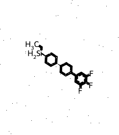 CC[SiH2][C@H]1CC[C@H](C2CCC(c3cc(F)c(F)c(F)c3)CC2)CC1